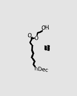 C=C.C=C.CCCCCCCCCCCCCCCCCC(=O)OCCO